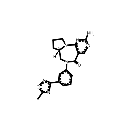 Cc1nc(-c2cccc(N3C[C@@H]4CCCN4c4nc(N)ncc4C3=O)c2)no1